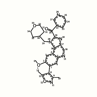 COc1cc2c(cc1-c1c(C)noc1C)ncc1nc(C(=O)c3cccnc3)n(CC3CCOCC3)c12